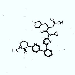 CN1CCCN(c2ccc(-c3ccccc3-c3csc(N(C(=O)C(CC(=O)O)CC4CCCC4)C4CC4)n3)cn2)C1=O